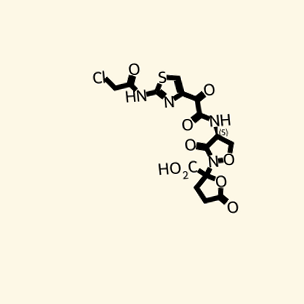 O=C(CCl)Nc1nc(C(=O)C(=O)N[C@H]2CON(C3(C(=O)O)CCC(=O)O3)C2=O)cs1